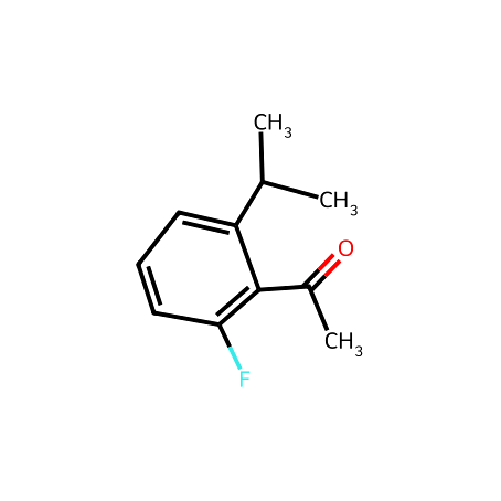 CC(=O)c1c(F)cccc1C(C)C